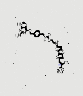 CN(CCOC(=O)NCc1ccc(COc2nc(N)nc3[nH]cnc23)cc1)c1cc2sc3cc(/C=C(\C#N)C(=O)OC(C)(C)C)sc3c2s1